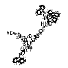 CCCCCCCCCCCC(=O)OC[C@H](CSC[C@H](NC(=O)OCC1c2ccccc2-c2ccccc21)C(=O)NCCCOCCOCCOCCCNC(=O)C(CSC(c1ccccc1)(c1ccccc1)c1ccccc1)NC(=O)OCC1c2ccccc2-c2ccccc21)OC(=O)CCCCCCCCCCC